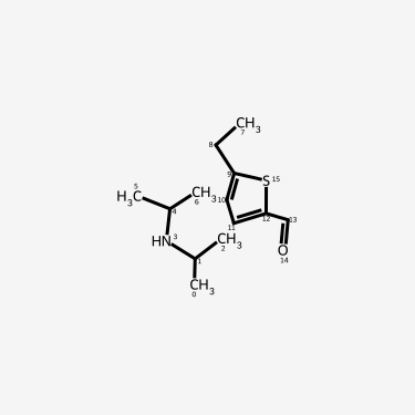 CC(C)NC(C)C.CCc1ccc(C=O)s1